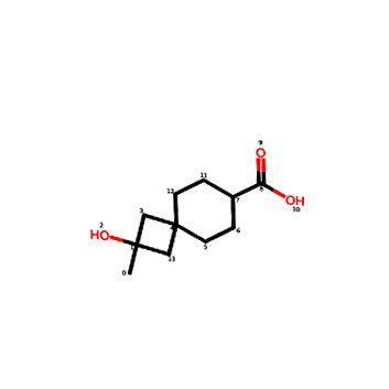 CC1(O)CC2(CCC(C(=O)O)CC2)C1